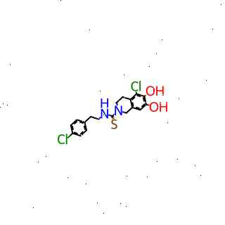 Oc1cc2c(c(Cl)c1O)CCN(C(=S)NCCc1ccc(Cl)cc1)C2